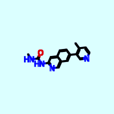 CNC(=O)Nc1cc2ccc(-c3cnccc3C)cc2cn1